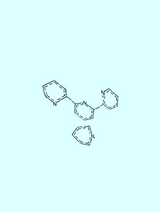 c1ccc(-c2cccc(-c3ccccn3)n2)nc1.c1ccncc1